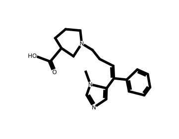 Cn1cncc1C(=CCCN1CCCC(C(=O)O)C1)c1ccccc1